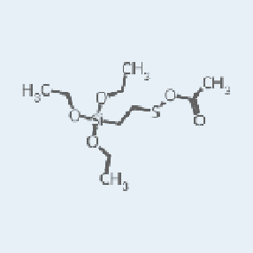 CCO[Si](CCSOC(C)=O)(OCC)OCC